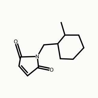 CC1CCCCC1CN1C(=O)C=CC1=O